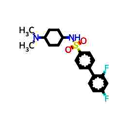 CN(C)C1CCC(NS(=O)(=O)c2ccc(-c3ccc(F)cc3F)cc2)CC1